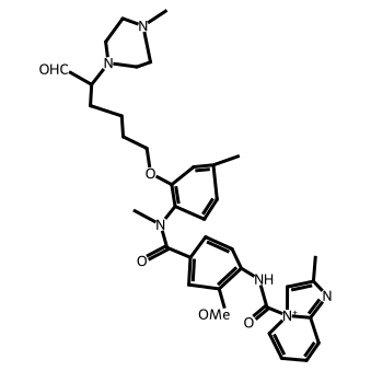 COc1cc(C(=O)N(C)c2ccc(C)cc2OCCCCC(C=O)N2CCN(C)CC2)ccc1NC(=O)[N+]12C=CC=CC1=NC(C)=C2